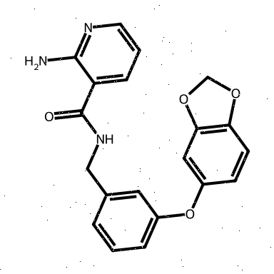 Nc1ncccc1C(=O)NCc1cccc(Oc2ccc3c(c2)OCO3)c1